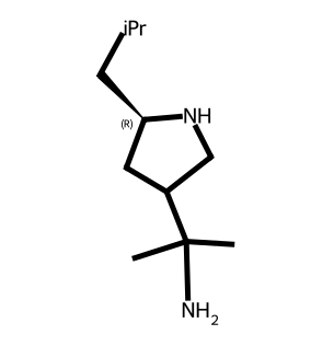 CC(C)C[C@@H]1CC(C(C)(C)N)CN1